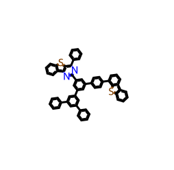 c1ccc(-c2cc(-c3ccccc3)cc(-c3cc(-c4ccc(-c5cccc6c5sc5ccccc56)cc4)cc(-c4nc(-c5ccccc5)c5sc6ccccc6c5n4)c3)c2)cc1